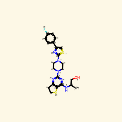 CC(C)C(CO)Nc1nc(N2CCN(c3nc(-c4ccc(F)cc4)cs3)CC2)nc2c1SCC2